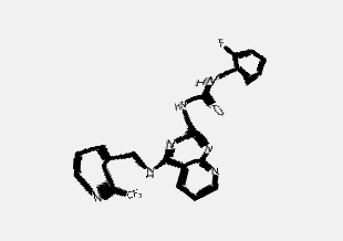 O=C(Nc1nc(NCc2cccnc2C(F)(F)F)c2cccnc2n1)Nc1ccccc1F